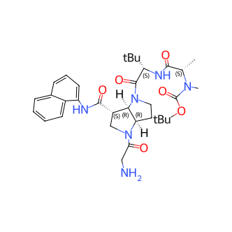 C[C@@H](C(=O)N[C@H](C(=O)N1CC[C@@H]2[C@H]1[C@@H](C(=O)Nc1cccc3ccccc13)CN2C(=O)CN)C(C)(C)C)N(C)C(=O)OC(C)(C)C